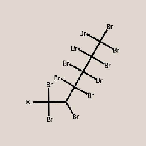 Br[C](C(Br)(Br)Br)C(Br)(Br)C(Br)(Br)C(Br)(Br)C(Br)(Br)Br